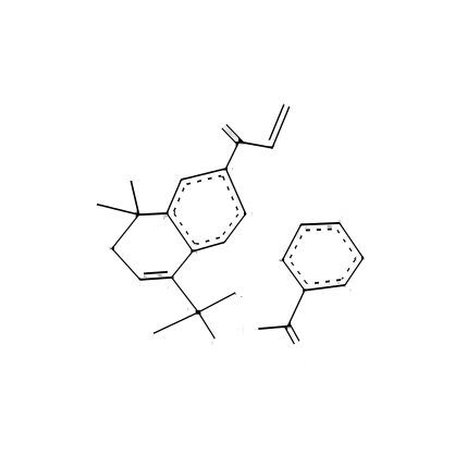 C=CC(=O)c1ccc2c(c1)C(C)(C)CC=C2C(C)(C)C.O=C(O)c1ccccc1